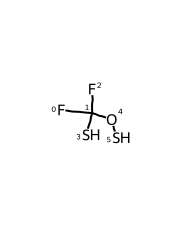 FC(F)(S)OS